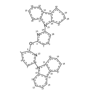 c1cc(Oc2cccc(-n3c4ccccc4c4ccccc43)n2)nc(-n2c3ccccc3c3ccccc32)c1